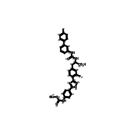 Cc1ccc(-c2cccc(NC(=O)NC(Cc3ccc(-c4noc(-c5ccc(NC(=O)OC(C)(C)C)cc5)n4)c(F)c3)C(=O)O)c2)cc1